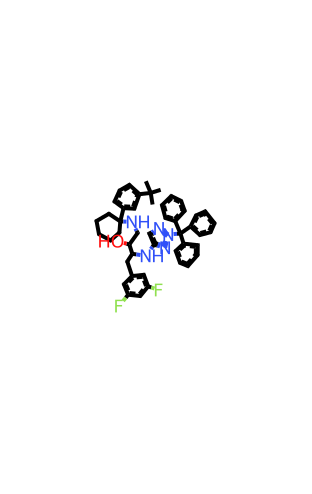 CC(C)(C)c1cccc(C2(NCC(O)C(Cc3cc(F)cc(F)c3)Nc3cnn(C(c4ccccc4)(c4ccccc4)c4ccccc4)n3)CCCCC2)c1